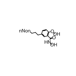 CCCCCCCCCCCCc1ccc(OO)c(C(=O)NO)c1